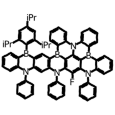 CC(C)c1cc(C(C)C)c(B2c3ccccc3N(c3ccccc3)c3cc4c(cc32)B2c3ccccc3N3c5ccccc5B5c6ccccc6N(c6ccccc6)c6c(F)c(c2c3c65)N4c2ccccc2)c(C(C)C)c1